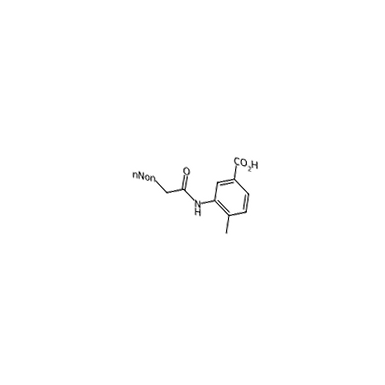 CCCCCCCCCCC(=O)Nc1cc(C(=O)O)ccc1C